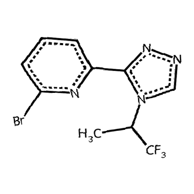 CC(n1cnnc1-c1cccc(Br)n1)C(F)(F)F